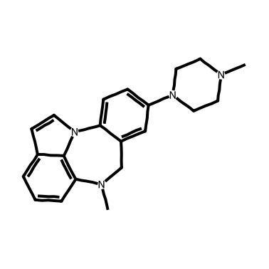 CN1CCN(c2ccc3c(c2)CN(C)c2cccc4ccn-3c24)CC1